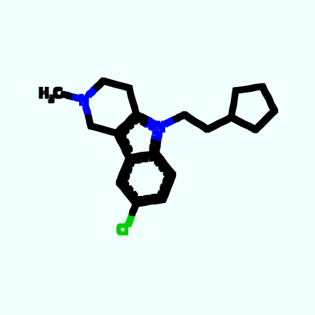 CN1CCc2c(c3cc(Cl)ccc3n2CCC2CCCC2)C1